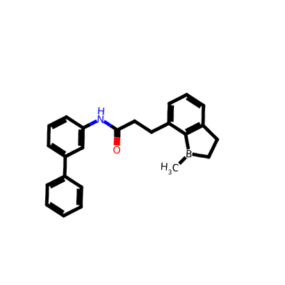 CB1CCc2cccc(CCC(=O)Nc3cccc(-c4ccccc4)c3)c21